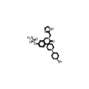 CC(C)[C@H]1CC[C@@H](N2CCC3(CC2)C(=O)N(CC2=NCCN2)Cc2cc(OS(N)(=O)=O)ccc23)CC1